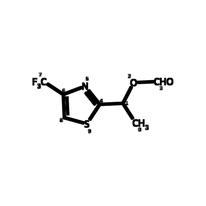 CC(OC=O)c1nc(C(F)(F)F)cs1